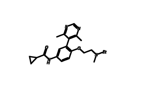 CCN(C)CCOc1ccc(NC(=O)C2CC2)cc1-c1c(C)ncnc1C